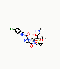 CCNCC(O)C(C)(C)S(=O)(=O)C1(CN2CCn3c(cnc3C(=O)NCc3ccc(Cl)cc3)C2=O)CC1